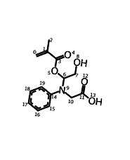 C=C(C)C(=O)OC(CO)N(CC(=O)O)c1ccccc1